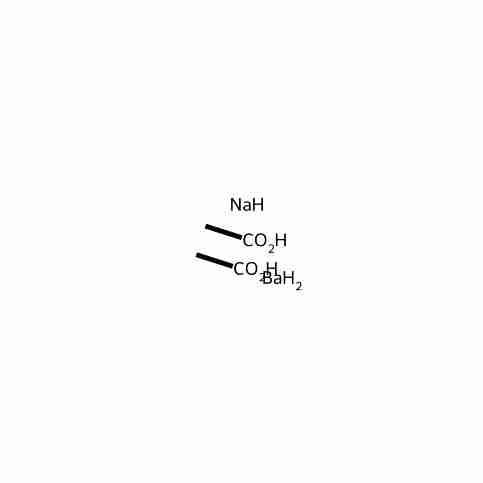 CC(=O)O.CC(=O)O.[BaH2].[NaH]